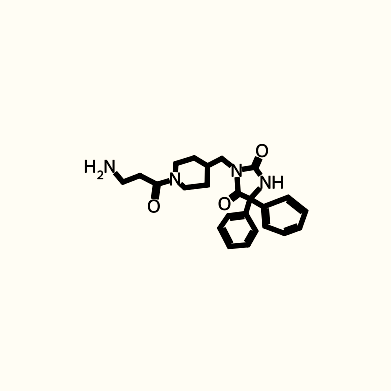 NCCC(=O)N1CCC(CN2C(=O)NC(c3ccccc3)(c3ccccc3)C2=O)CC1